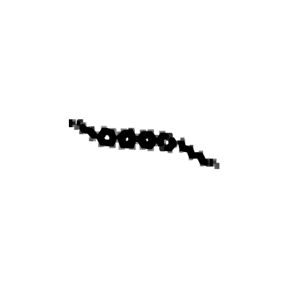 CCCCCCC[C@@H]1CO[C@@H](c2ccc(-c3ccc([C@H]4CC[C@H](CCCC)CC4)cc3)cc2)CO1